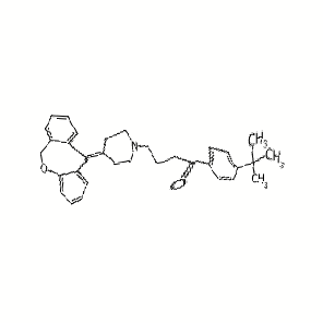 CC(C)(C)c1ccc(C(=O)CCCN2CCC(=C3c4ccccc4COc4ccccc43)CC2)cc1